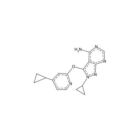 Nc1ncnc2nn(C3CC3)c(Oc3cc(C4CC4)ccn3)c12